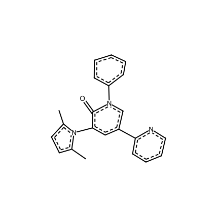 Cc1ccc(C)n1-c1cc(-c2ccccn2)cn(-c2ccccc2)c1=O